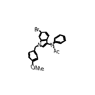 COc1ccc(Cn2cc(N(C(C)=O)c3ccccc3)c3ccc(Br)cc32)cc1